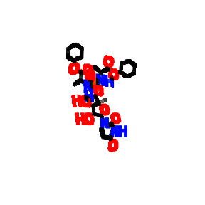 C[C@H](NP(=O)(N[C@@H](C)C(=O)OC1CCCCC1)OC[C@@]1(C)O[C@@H](n2ccc(=O)[nH]c2=O)[C@H](O)[C@@H]1O)C(=O)OC1CCCCC1